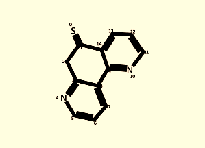 S=C1Cc2ncccc2-c2ncccc21